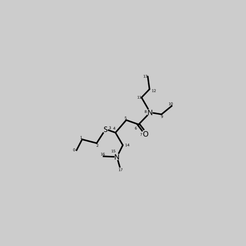 CCCSC(CC(=O)N(CC)CCC)CN(C)C